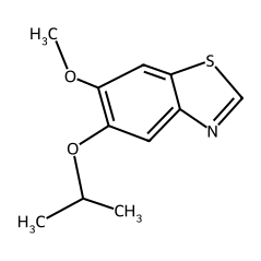 COc1cc2scnc2cc1OC(C)C